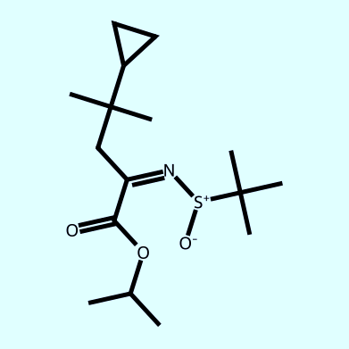 CC(C)OC(=O)C(CC(C)(C)C1CC1)=N[S+]([O-])C(C)(C)C